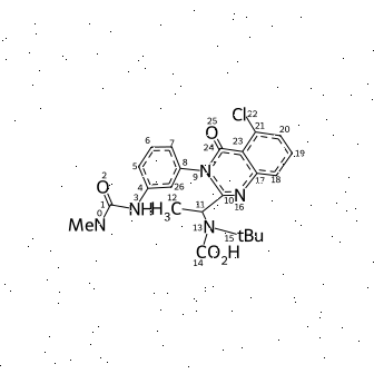 CNC(=O)Nc1cccc(-n2c(C(C)N(C(=O)O)C(C)(C)C)nc3cccc(Cl)c3c2=O)c1